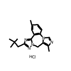 Cc1ccc2c(c1)-c1nc(CC(C)(C)C)nn1Cc1c(C)ncn1-2.Cl